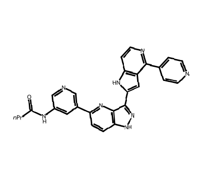 CCCC(=O)Nc1cncc(-c2ccc3[nH]nc(-c4cc5c(-c6ccncc6)nccc5[nH]4)c3n2)c1